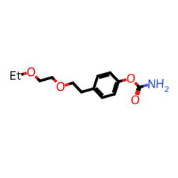 CCOCCOCCc1ccc(OC(N)=O)cc1